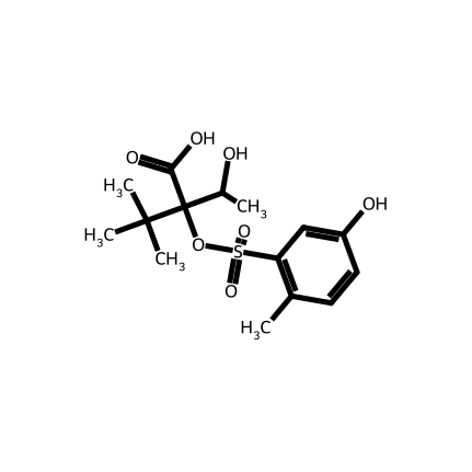 Cc1ccc(O)cc1S(=O)(=O)OC(C(=O)O)(C(C)O)C(C)(C)C